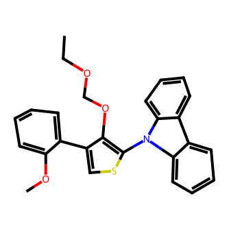 CCOCOc1c(-c2ccccc2OC)csc1-n1c2ccccc2c2ccccc21